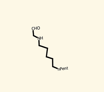 CCCCCCCCCCNCC=O